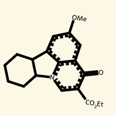 CCOC(=O)c1cn2c3c(cc(OC)cc3c1=O)C1CCCCC12